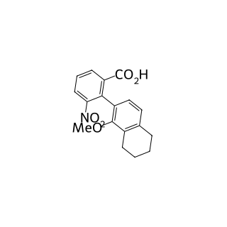 COc1c(-c2c(C(=O)O)cccc2[N+](=O)[O-])ccc2c1CCCC2